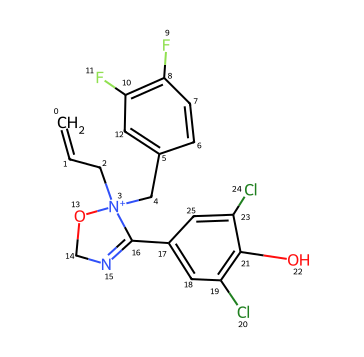 C=CC[N+]1(Cc2ccc(F)c(F)c2)OCN=C1c1cc(Cl)c(O)c(Cl)c1